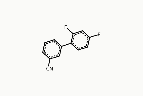 N#Cc1cccc(-c2ccc(F)cc2F)c1